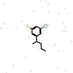 CCCC(C)c1cc(F)cc(Cl)c1